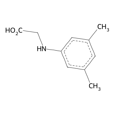 Cc1cc(C)cc(NCC(=O)O)c1